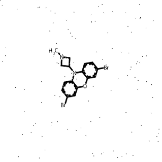 CN1CC(N2c3ccc(Br)cc3Oc3cc(Br)ccc32)C1